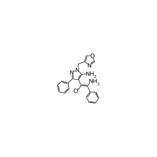 N/C(=C(/Cl)c1c(-c2ccccc2)nn(Cc2cocn2)c1N)c1ccccc1